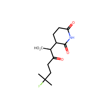 CC(C)(F)CCC(=O)C(C(=O)O)C1CCC(=O)NC1=O